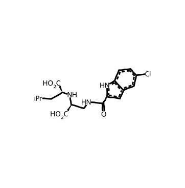 CC(C)C[C@H](N[C@@H](CNC(=O)c1cc2cc(Cl)ccc2[nH]1)C(=O)O)C(=O)O